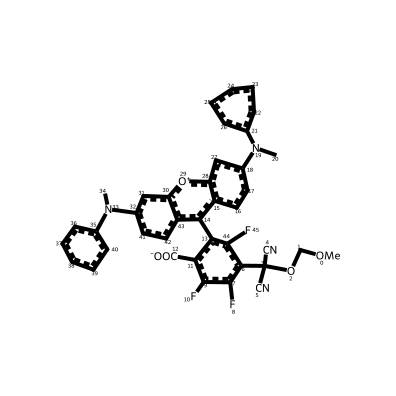 COCOC(C#N)(C#N)c1c(F)c(F)c(C(=O)[O-])c(-c2c3ccc(N(C)c4ccccc4)cc3[o+]c3cc(N(C)c4ccccc4)ccc23)c1F